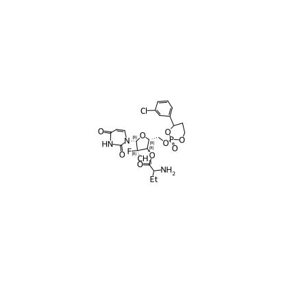 CCC(N)C(=O)O[C@@H]1[C@@H](COP2(=O)OCCC(c3cccc(Cl)c3)O2)O[C@@H](n2ccc(=O)[nH]c2=O)[C@]1(C)F